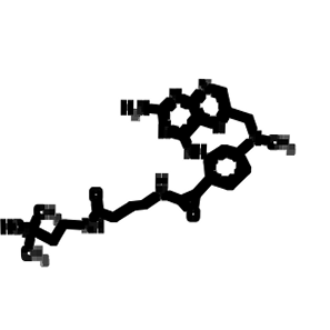 CN(Cc1cnc2nc(N)nc(N)c2n1)c1ccc(C2OC2NCCCC(=O)NCC[Si](C)(C)O)cc1